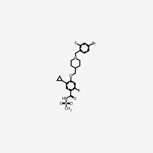 CS(=O)(=O)NC(=O)c1cc(C2CC2)c(OCC2CCN(Cc3ccc(Br)cc3F)CC2)cc1F